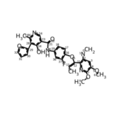 C=Nc1cc(OC)c(OC)nc1/C(=C\C)Oc1ccc(NC(=O)c2cnc(C)c(-c3ccco3)c2O)cc1F